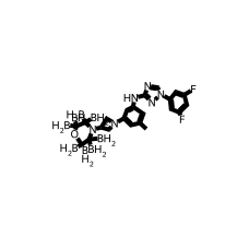 BC1(B)OC(B)(B)C(B)(B)N(C2CN(c3cc(C)cc(Nc4ncn(-c5cc(F)cc(F)c5)n4)c3)C2)C1(B)B